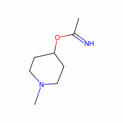 CC(=N)OC1CCN(C)CC1